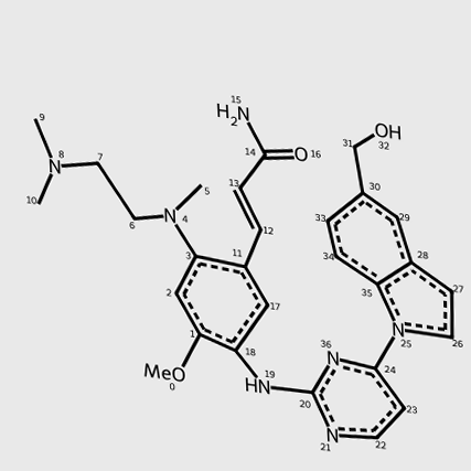 COc1cc(N(C)CCN(C)C)c(C=CC(N)=O)cc1Nc1nccc(-n2ccc3cc(CO)ccc32)n1